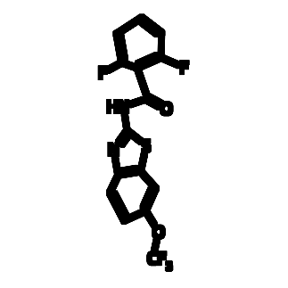 O=C(Nc1nc2ccc(OC(F)(F)F)cc2s1)c1c(F)cccc1F